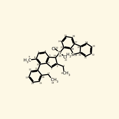 CCC1=Cc2c(ccc(C)c2-c2ccccc2CC)[CH]1[Zr]([Cl])([Cl])[c]1cccc2c1[SiH2]c1ccccc1-2